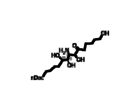 CCCCCCCCCCCCCC[C@@H](O)[C@@H](O)[C@@H](N)C(O)C(=O)CCCCCO